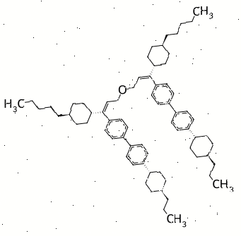 CCCCC[C@H]1CC[C@H](C(=CCOCC=C(c2ccc(-c3ccc([C@H]4CC[C@H](CCC)CC4)cc3)cc2)[C@H]2CC[C@H](CCCCC)CC2)c2ccc(-c3ccc([C@H]4CC[C@H](CCC)CC4)cc3)cc2)CC1